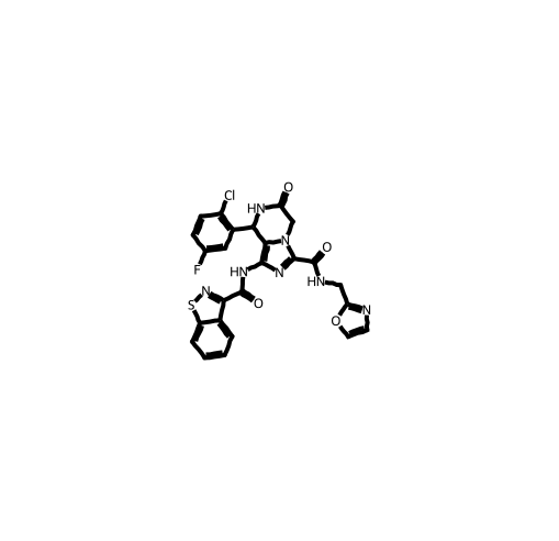 O=C1Cn2c(C(=O)NCc3ncco3)nc(NC(=O)c3nsc4ccccc34)c2C(c2cc(F)ccc2Cl)N1